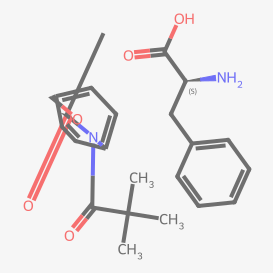 CC(C)(C)C(=O)N1C(=O)OCc2ccc1cc2.N[C@@H](Cc1ccccc1)C(=O)O